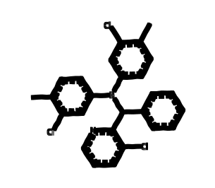 Cc1ccc(B(c2ccc(C)c(Cl)c2)C(c2ccccc2)c2ncccc2Cl)cc1Cl